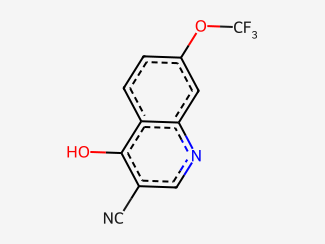 N#Cc1cnc2cc(OC(F)(F)F)ccc2c1O